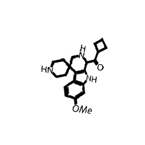 COc1ccc2c3c([nH]c2c1)C(C(=O)C1CCC1)NCC31CCNCC1